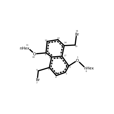 CCCCCCOc1ccc(CBr)c2c(OCCCCCC)ccc(CBr)c12